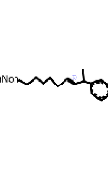 CCCCCCCCCCCCCC/C=C/C(C)c1ccccc1